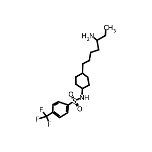 CCC(N)CCCCC1CCC(NS(=O)(=O)c2ccc(C(F)(F)F)cc2)CC1